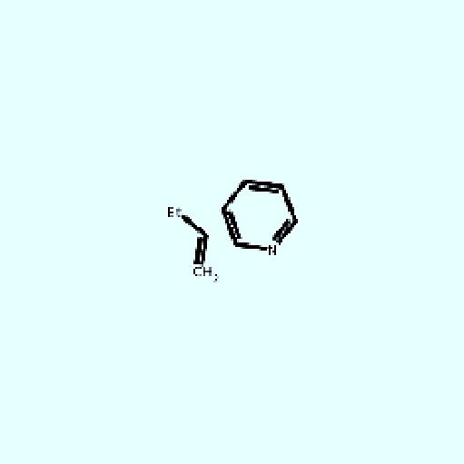 C=CCC.c1ccncc1